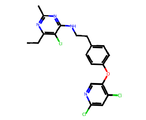 CCc1nc(C)nc(NCCc2ccc(Oc3cnc(Cl)cc3Cl)cc2)c1Cl